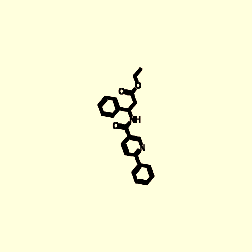 CCOC(=O)CC(NC(=O)c1ccc(-c2ccccc2)nc1)c1ccccc1